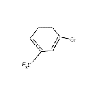 CCC1=CC(C(F)(F)F)=CCC1